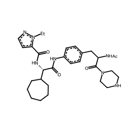 CCn1nccc1C(=O)N[C@H](C(=O)Nc1ccc(CC(NC(C)=O)C(=O)N2CCNCC2)cc1)C1CCCCCC1